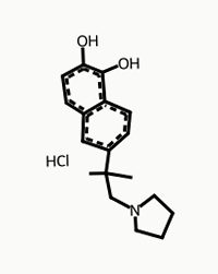 CC(C)(CN1CCCC1)c1ccc2c(O)c(O)ccc2c1.Cl